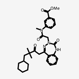 COC(=O)c1cccc(N(C)C(=O)CN2N=C(CC(=O)C(C)(C)CC3CCCCC3)c3ccccc3NC2=O)c1